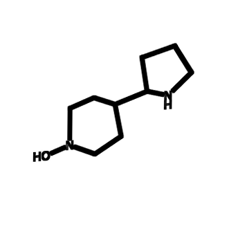 ON1CCC(C2CCCN2)CC1